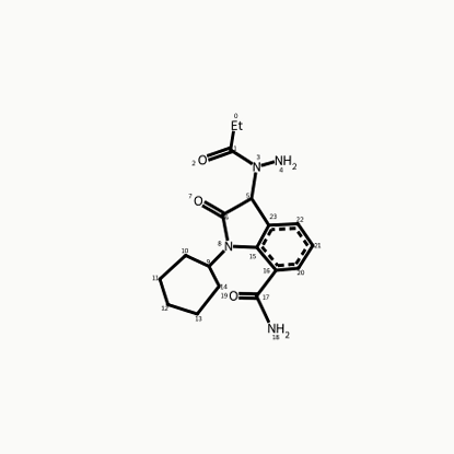 CCC(=O)N(N)C1C(=O)N(C2CCCCC2)c2c(C(N)=O)cccc21